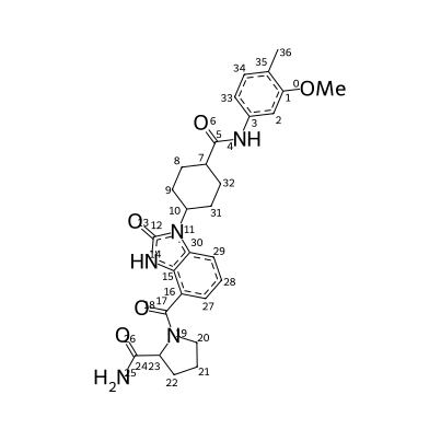 COc1cc(NC(=O)C2CCC(n3c(=O)[nH]c4c(C(=O)N5CCCC5C(N)=O)cccc43)CC2)ccc1C